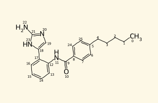 CCCCCc1ccc(C(=O)Nc2ccccc2-c2cnc(N)[nH]2)cc1